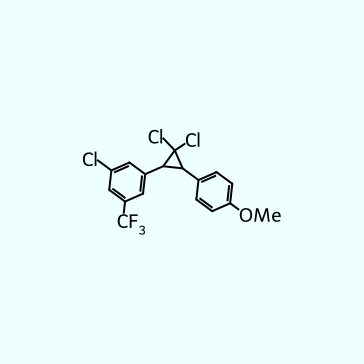 COc1ccc(C2C(c3cc(Cl)cc(C(F)(F)F)c3)C2(Cl)Cl)cc1